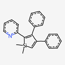 C[Si]1(C)C=C(c2ccccc2)C(c2ccccc2)=C1c1ccccn1